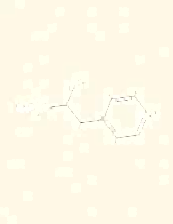 CCOC(=O)C(Cc1ccncc1)C(C)C